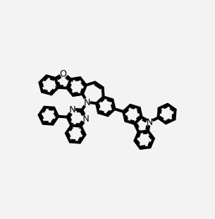 C1=Cc2cc3oc4ccccc4c3cc2N(c2nc(-c3ccccc3)c3ccccc3n2)c2ccc(-c3ccc4c(c3)c3ccccc3n4-c3ccccc3)cc21